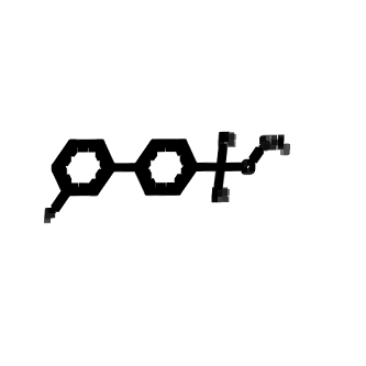 CCC(CC)(O[SiH3])c1ccc(-c2cccc(F)c2)cc1